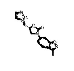 Cc1noc2cc(N3C[C@H](Cn4ccnn4)OC3=O)ccc12